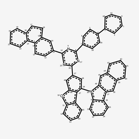 c1ccc(-c2ccc(-c3nc(-c4ccc5c(ccc6ccccc65)c4)nc(-c4cc(-n5c6ccccc6c6cc7ccccc7cc65)c5c(c4)oc4ccccc45)n3)cc2)cc1